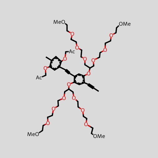 CC#Cc1cc(OC(COCCOCCOCCOC)COCCOCCOCCOC)c(C#Cc2cc(OCC(C)=O)c(C)cc2OCC(C)=O)cc1OC(COCCOCCOCCOC)COCCOCCOCCOC